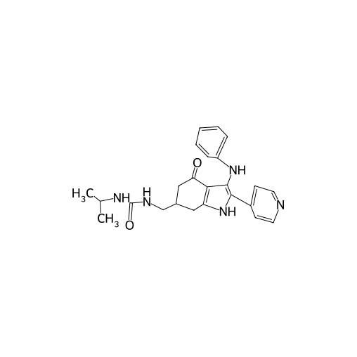 CC(C)NC(=O)NCC1CC(=O)c2c([nH]c(-c3ccncc3)c2Nc2ccccc2)C1